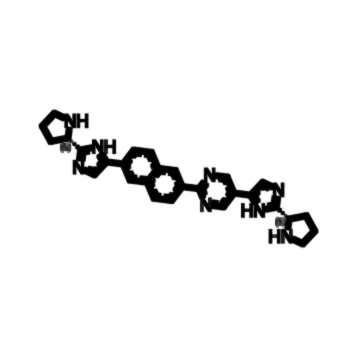 c1cc2cc(-c3cnc([C@@H]4CCCN4)[nH]3)ccc2cc1-c1ncc(-c2cnc([C@@H]3CCCN3)[nH]2)cn1